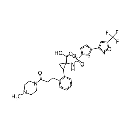 CN1CCN(C(=O)CCc2ccccc2C2CC2(NS(=O)(=O)c2ccc(-c3cc(C(F)(F)F)on3)s2)C(=O)O)CC1